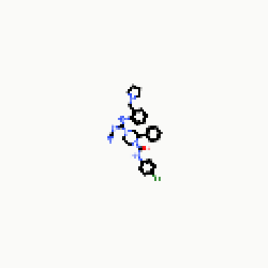 N#C/N=C(/Nc1ccccc1CN1CCCC1)N1CCN(C(=O)Nc2ccc(Cl)cc2)C(c2ccccc2)C1